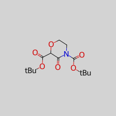 CC(C)(C)OC(=O)C1OCCN(C(=O)OC(C)(C)C)C1=O